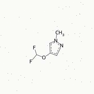 Cn1cc(OC(F)F)cn1